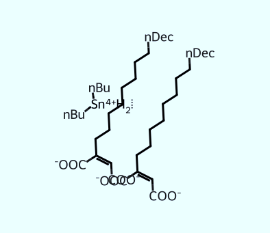 CCCCCCCCCCCCCCCCCC/C(=C/C(=O)[O-])C(=O)[O-].CCCCCCCCCCCCCCCCCC/C(=C/C(=O)[O-])C(=O)[O-].CCC[CH2][SnH2+4][CH2]CCC